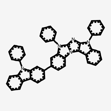 c1ccc(-n2c3ccccc3c3ccc(-c4ccc5c(c4)n(-c4ccccc4)c4nc6c(c7ccccc7n6-c6ccccc6)n54)cc32)cc1